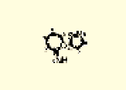 N=c1cccco1.c1cnsc1